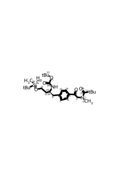 CN(CC(=O)c1ccc(C[C@@H](CCO[Si](C)(C)C(C)(C)C)NC(=O)OC(C)(C)C)cc1)C(=O)C(C)(C)C